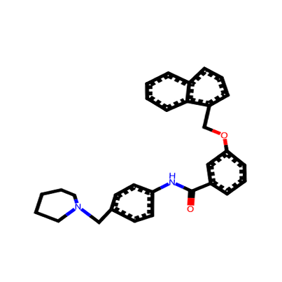 O=C(Nc1ccc(CN2CCCCC2)cc1)c1cccc(OCc2cccc3ccccc23)c1